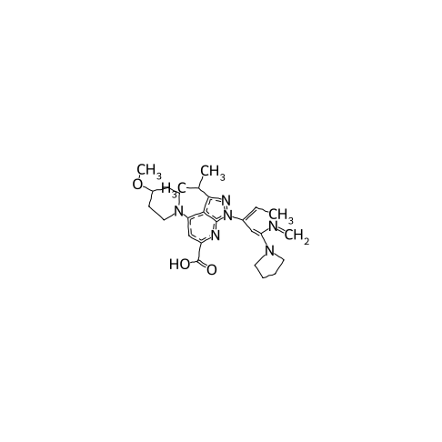 C=N/C(=C\C(=C/C)n1nc(C(C)C)c2c(N3CCC(OC)CC3)cc(C(=O)O)nc21)N1CCCC1